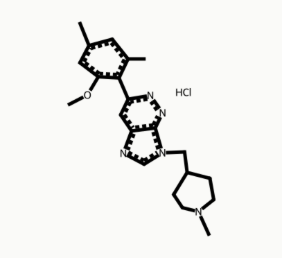 COc1cc(C)cc(C)c1-c1cc2ncn(CC3CCN(C)CC3)c2nn1.Cl